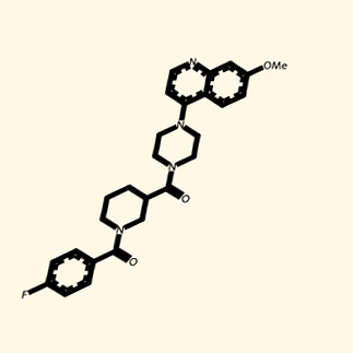 COc1ccc2c(N3CCN(C(=O)C4CCCN(C(=O)c5ccc(F)cc5)C4)CC3)ccnc2c1